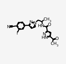 CC(=O)c1cc(C(=O)NC(C)Cn2ccc(-c3ccc(C#N)c(I)c3)n2)n[nH]1